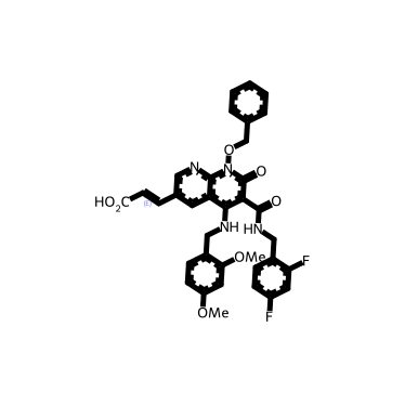 COc1ccc(CNc2c(C(=O)NCc3ccc(F)cc3F)c(=O)n(OCc3ccccc3)c3ncc(/C=C/C(=O)O)cc23)c(OC)c1